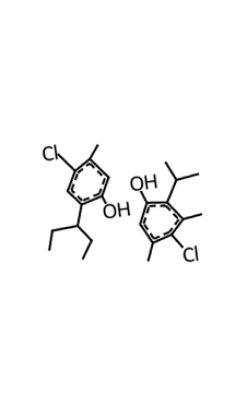 CCC(CC)c1cc(Cl)c(C)cc1O.Cc1cc(O)c(C(C)C)c(C)c1Cl